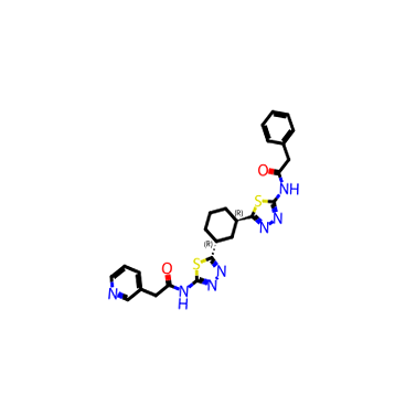 O=C(Cc1ccccc1)Nc1nnc([C@@H]2CCC[C@@H](c3nnc(NC(=O)Cc4cccnc4)s3)C2)s1